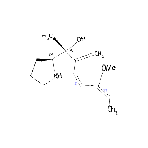 C=C(/C=C\C(=C/C)OC)[C@@](C)(O)[C@@H]1CCCN1